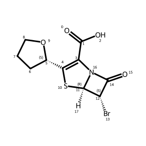 O=C(O)C1=C([C@@H]2CCCO2)S[C@@H]2[C@@H](Br)C(=O)N12